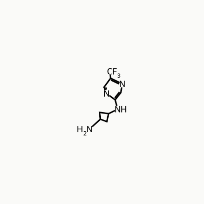 NC1CC(Nc2cnc(C(F)(F)F)cn2)C1